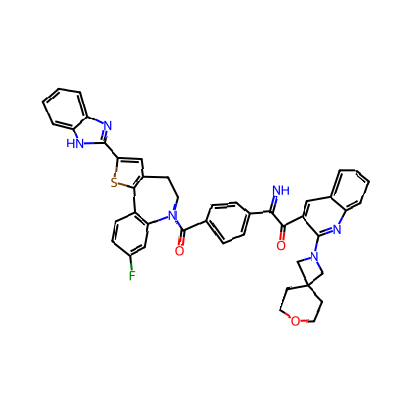 N=C(C(=O)c1cc2ccccc2nc1N1CC2(CCOCC2)C1)c1ccc(C(=O)N2CCc3cc(-c4nc5ccccc5[nH]4)sc3-c3ccc(F)cc32)cc1